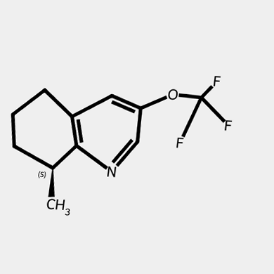 C[C@H]1CCCc2cc(OC(F)(F)F)cnc21